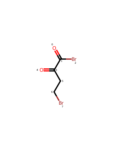 O=C(Br)C(=O)CCBr